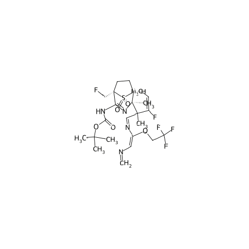 C=N/C=C(\N=C/C(C)(/C(F)=C\C)[C@@]1(C)N=C(NC(=O)OC(C)(C)C)[C@@]2(CF)CC[C@@H]1S2(=O)=O)OCC(F)(F)F